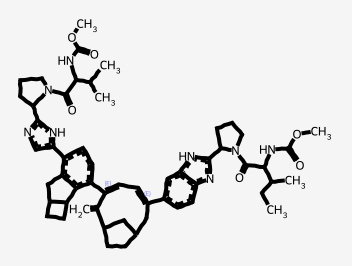 C=C1/C(c2ccc(-c3cnc(C4CCCN4C(=O)C(NC(=O)OC)C(C)C)[nH]3)c3c2C2CCC2C3)=C\C=C(\c2ccc3nc(C4CCCN4C(=O)C(NC(=O)OC)C(C)CC)[nH]c3c2)CC2CCC1C2